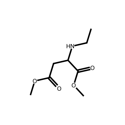 CCNC(CC(=O)OC)C(=O)OC